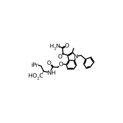 Cc1c(C(=O)C(N)=O)c2c(OCC(=O)N[C@@H](CC(C)C)C(=O)O)cccc2n1Cc1ccccc1